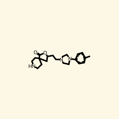 Cc1ccc(N2CCN(CCC3CC4(CCNCC4)C(=O)O3)CC2)cc1